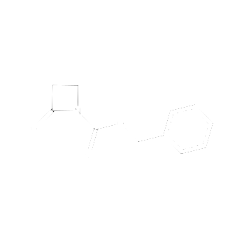 O=C1CCN1C(=O)OCc1ccccc1